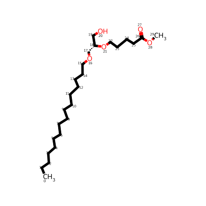 CCCCCCCCCCCCCCCCOC[C@H](CO)OCCCCC(=O)OC